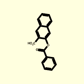 O=C(Oc1cc2ccccc2cc1C(=O)O)c1ccccc1